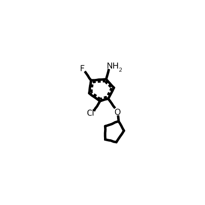 Nc1cc(OC2CCCC2)c(Cl)cc1F